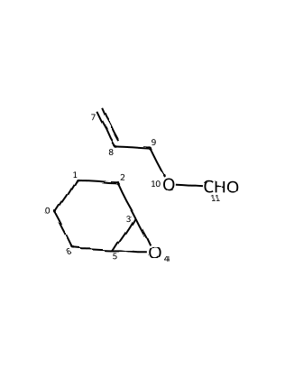 C1CCC2OC2C1.C=CCOC=O